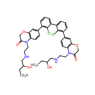 O=C(O)CC(O)CNCCN1C(=O)COc2cc(-c3cccc(-c4cccc(-c5ccc6c(c5)OCC(=O)N6CCNCC(O)CC(=O)O)c4Cl)c3Cl)ccc21